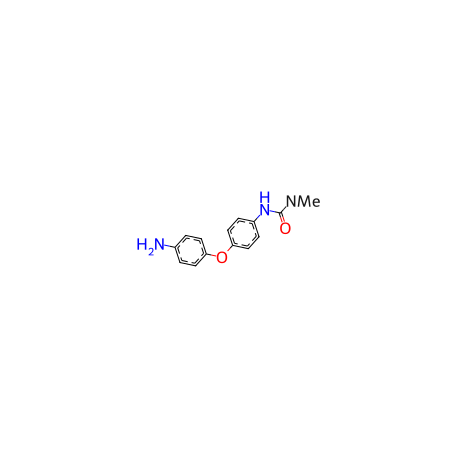 CNC(=O)Nc1ccc(Oc2ccc(N)cc2)cc1